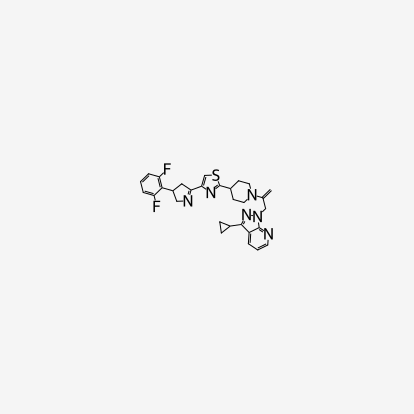 C=C(Cn1nc(C2CC2)c2cccnc21)N1CCC(c2nc(C3=NCC(c4c(F)cccc4F)C3)cs2)CC1